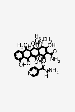 C=C1c2cccc(O)c2C(=O)C2=C(O)[C@]3(O)C(=O)C(C(N)=O)=C(O)[C@@H](N(C)C)[C@H]3[C@@H](O)[C@H]12.NNC(=O)c1ccncc1